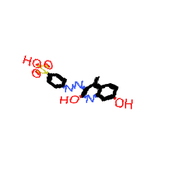 Cc1c(/N=N/c2ccc(S(=O)(=O)O)cc2)c(O)nc2cc(O)ccc12